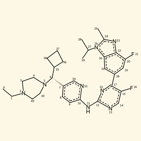 CCN1CCN([C@@H](c2ccc(Nc3ncc(F)c(-c4cc(F)c5nc(C)n(C(C)C)c5c4)n3)nc2)C2CCC2)CC1